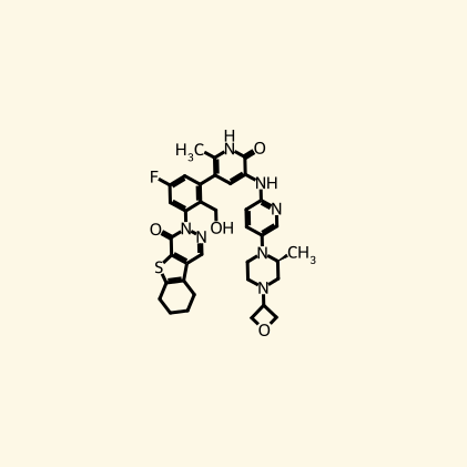 Cc1[nH]c(=O)c(Nc2ccc(N3CCN(C4COC4)C[C@@H]3C)cn2)cc1-c1cc(F)cc(-n2ncc3c4c(sc3c2=O)CCCC4)c1CO